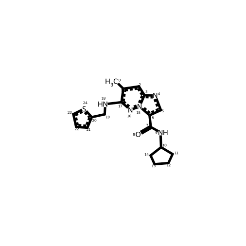 Cc1cc2ncc(C(=O)NC3CCCC3)n2nc1NCc1cccs1